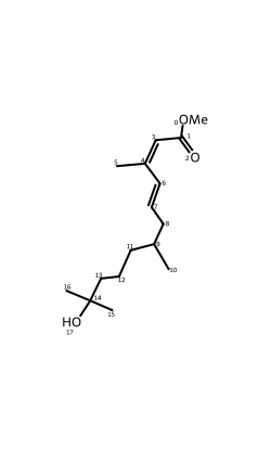 COC(=O)C=C(C)C=CCC(C)CCCC(C)(C)O